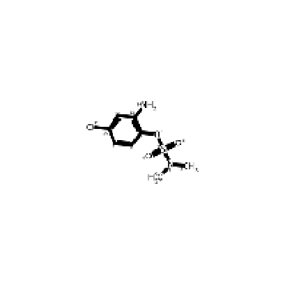 CN(C)S(=O)(=O)Oc1ccc(Cl)cc1N